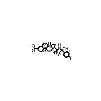 CC(C)(NC(=O)C1CC[C@H]2[C@@H]3CC=C4C=C(C(=O)O)CC[C@]4(C)[C@H]3CC[C@]12C)c1ccc(F)cc1